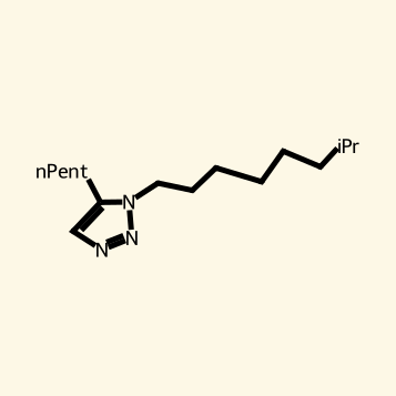 CCCCCc1cnnn1CCCCCCC(C)C